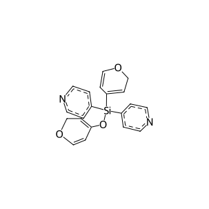 C1=CC(O[Si](C2=CCOC=C2)(c2ccncc2)c2ccncc2)=CCO1